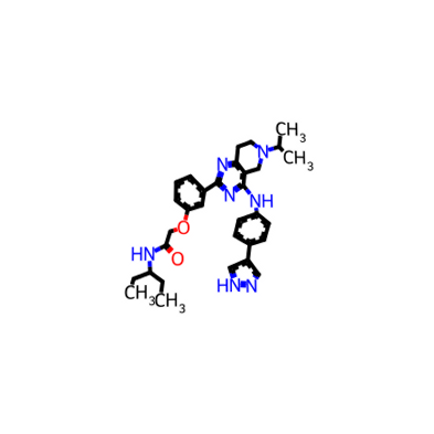 CCC(CC)NC(=O)COc1cccc(-c2nc3c(c(Nc4ccc(-c5cn[nH]c5)cc4)n2)CN(C(C)C)CC3)c1